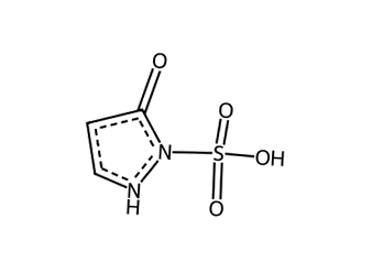 O=c1cc[nH]n1S(=O)(=O)O